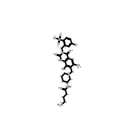 CCS(=O)(=O)c1ccc(Cl)cc1Cn1c(=O)[nH]c2c(Cl)c(CN3CCC[C@@H](NC(=O)CCCN)C3)c(C(F)(F)F)cc2c1=O